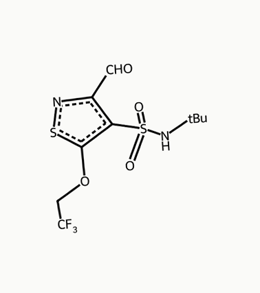 CC(C)(C)NS(=O)(=O)c1c(C=O)nsc1OCC(F)(F)F